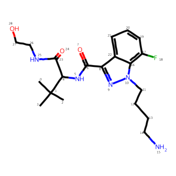 CC(C)(C)C(NC(=O)c1nn(CCCCN)c2c(F)cccc12)C(=O)NCCO